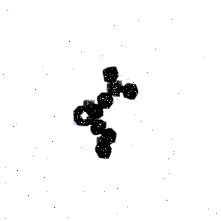 C=C1/C=C\C=C/CN(c2ccc(-c3cccc4c3sc3ccccc34)cc2)c2ccc(-c3ccc(-c4nc(-c5ccccc5)nc(-c5ccccc5)n4)cc3)cc21